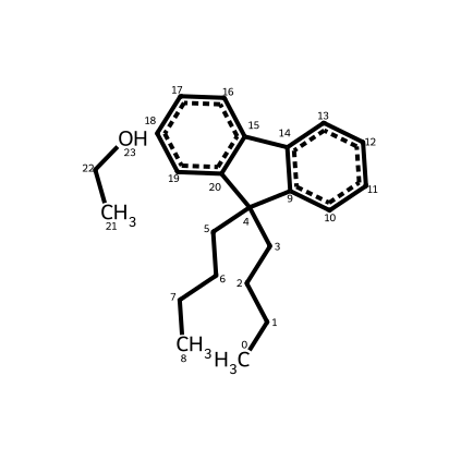 CCCCC1(CCCC)c2ccccc2-c2ccccc21.CCO